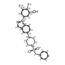 O=S(=O)(Cc1ccccc1)N1CCN(c2ccc3c(cnn3-c3cc(O)c(F)c(F)c3)c2)CC1